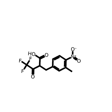 Cc1cc(CC(C(=O)O)C(=O)C(F)(F)F)ccc1[N+](=O)[O-]